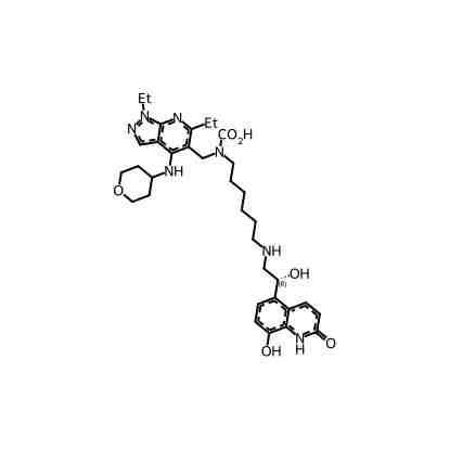 CCc1nc2c(cnn2CC)c(NC2CCOCC2)c1CN(CCCCCCNC[C@H](O)c1ccc(O)c2[nH]c(=O)ccc12)C(=O)O